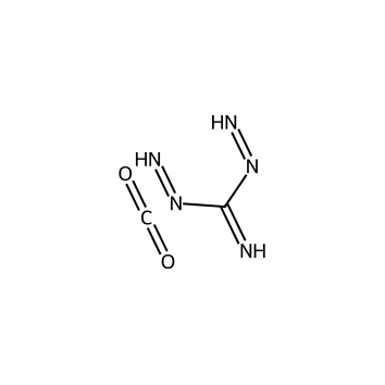 N=NC(=N)N=N.O=C=O